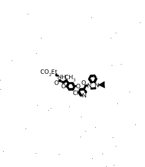 CCOC(=O)CNC(=O)c1oc2cc(Cl)c(Oc3ccncc3C(=O)N3CCN(C4CC4)c4ccccc43)cc2c1C